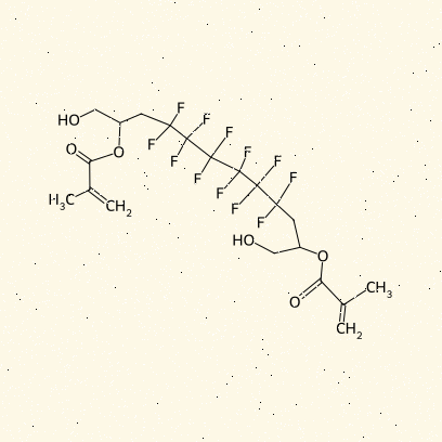 C=C(C)C(=O)OC(CO)CC(F)(F)C(F)(F)C(F)(F)C(F)(F)C(F)(F)C(F)(F)CC(CO)OC(=O)C(=C)C